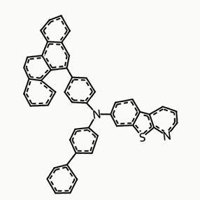 c1ccc(-c2ccc(N(c3ccc(-c4cc5ccccc5c5ccc6ccccc6c45)cc3)c3ccc4c(c3)sc3ncccc34)cc2)cc1